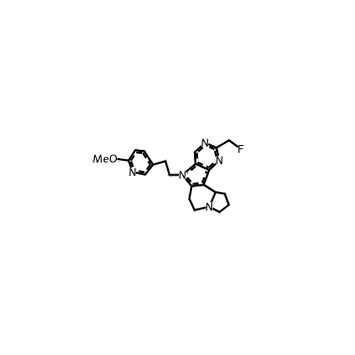 COc1ccc(CCn2c3c(c4nc(CF)ncc42)C2CCCN2CC3)cn1